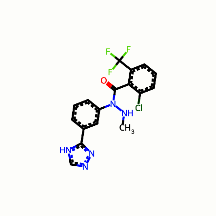 CNN(C(=O)c1c(Cl)cccc1C(F)(F)F)c1cccc(-c2nnc[nH]2)c1